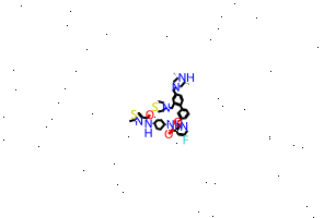 Cc1nc(C(=O)N[C@H]2CC[C@@H](NC(=O)c3cc(F)cnc3Oc3cccc(-c4ccc(CN5C[C@@H](C)N[C@@H](C)C5)cc4CN4CCSCC4)c3)CC2)cs1